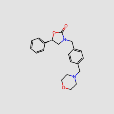 O=C1O[C@H](c2ccccc2)CN1Cc1ccc(CN2CCOCC2)cc1